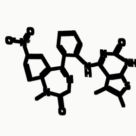 Cc1sc2[nH]c(=O)nc(Nc3ccccc3C3=NCC(=O)N(C)c4ccc([N+](=O)[O-])cc43)c2c1C